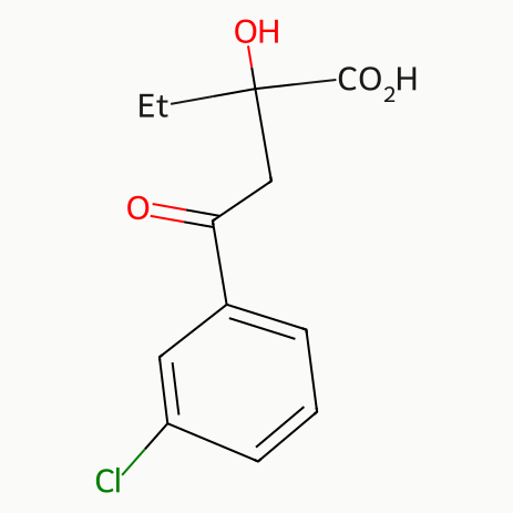 CCC(O)(CC(=O)c1cccc(Cl)c1)C(=O)O